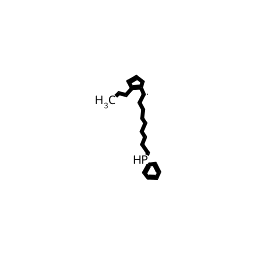 CCCC1=C([CH]CCCCCCCCPc2ccccc2)CC=C1